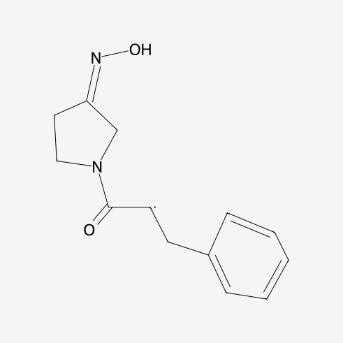 O=C([CH]Cc1ccccc1)N1CCC(=NO)C1